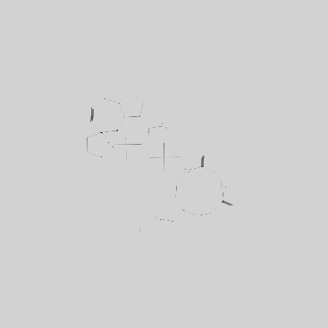 CC(C)(CCC(C)(C)N1CCCC12C=CCC1CCC(C(O)NC(C)(C)C)C1C2=O)CN1CCC(CNC(C)(C)C)OCC(=O)NCC1=O